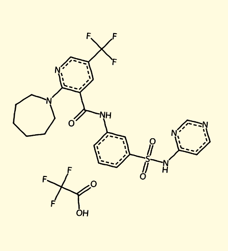 O=C(Nc1cccc(S(=O)(=O)Nc2ccncn2)c1)c1cc(C(F)(F)F)cnc1N1CCCCCC1.O=C(O)C(F)(F)F